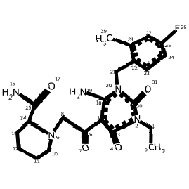 CCn1c(=O)c(C(=O)CN2CCCCC2C(N)=O)c(N)n(Cc2ccc(F)cc2C)c1=O